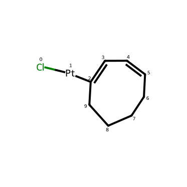 [Cl][Pt][C]1=CC=CCCCC1